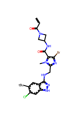 C=CC(=O)N1CC(NC(=O)c2c(Br)nc(CNc3n[nH]c4cc(Cl)c(C(C)(C)C)cc34)n2C)C1